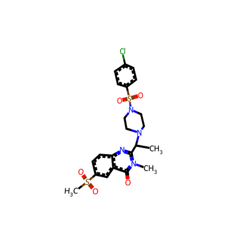 CC(c1nc2ccc(S(C)(=O)=O)cc2c(=O)n1C)N1CCN(S(=O)(=O)c2ccc(Cl)cc2)CC1